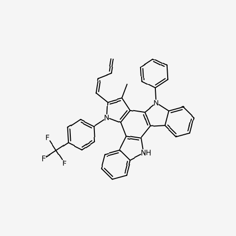 C=C/C=C\c1c(C)c2c(c3c4ccccc4[nH]c3c3c4ccccc4n(-c4ccccc4)c23)n1-c1ccc(C(F)(F)F)cc1